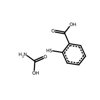 NC(=O)O.O=C(O)c1ccccc1S